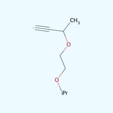 [C]#CC(C)OCCOC(C)C